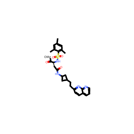 COC(=O)[C@H](CC(=O)NC1CC(CCc2ccc3cccnc3n2)C1)NS(=O)(=O)c1c(C)cc(C)cc1C